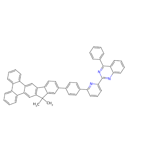 CC1(C)c2cc(-c3ccc(-c4cccc(-c5nc(-c6ccccc6)c6ccccc6n5)n4)cc3)ccc2-c2cc3c4ccccc4c4ccccc4c3cc21